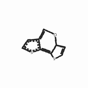 C1=CC2OC=c3ccsc3=C2S1